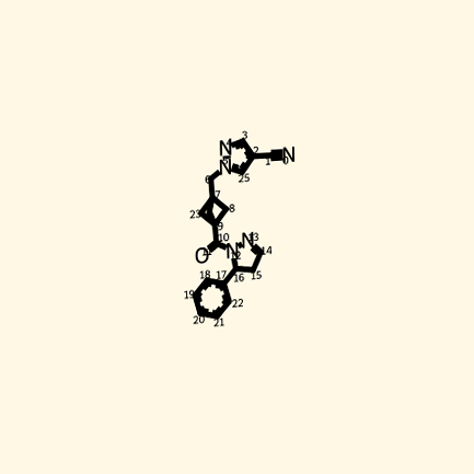 N#Cc1cnn(CC23CC(C(=O)N4N=CCC4c4ccccc4)(C2)C3)c1